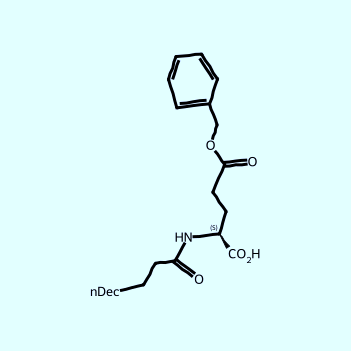 CCCCCCCCCCCCC(=O)N[C@@H](CCC(=O)OCc1ccccc1)C(=O)O